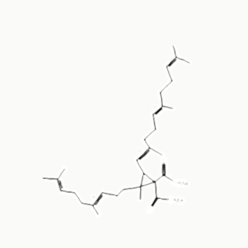 COC(=O)C1(C(=O)OC)C(/C=C(\C)CC/C=C(\C)CCC=C(C)C)C1(C)CC/C=C(\C)CCC=C(C)C